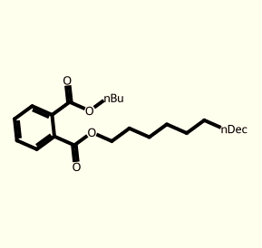 CCCCCCCCCCCCCCCCOC(=O)c1ccccc1C(=O)OCCCC